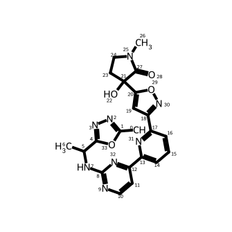 Cc1nnc(C(C)Nc2nccc(-c3cccc(-c4cc(C5(O)CCN(C)C5=O)on4)n3)n2)o1